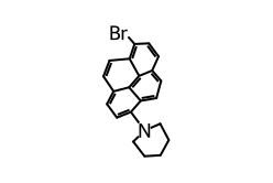 Brc1ccc2ccc3c(N4CCCCC4)ccc4ccc1c2c43